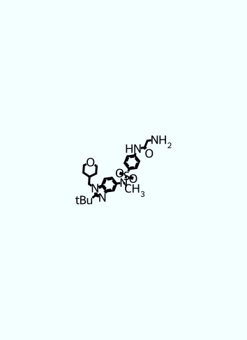 CN(c1ccc2c(c1)nc(C(C)(C)C)n2CC1CCOCC1)S(=O)(=O)c1ccc(NC(=O)CN)cc1